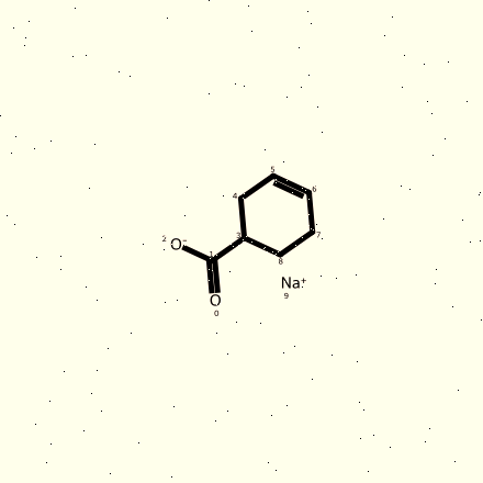 O=C([O-])C1CC=CCC1.[Na+]